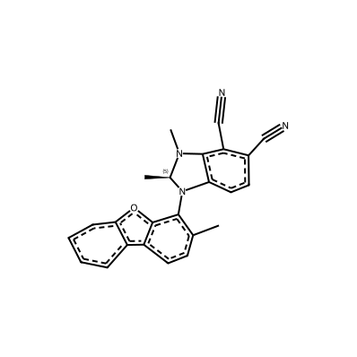 Cc1ccc2c(oc3ccccc32)c1N1c2ccc(C#N)c(C#N)c2N(C)[C@@H]1C